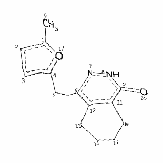 Cc1ccc(Cc2n[nH]c(=O)c3c2CCCC3)o1